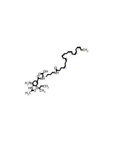 CC/C=C\C/C=C\C/C=C\C/C=C\C/C=C\C/C=C\CCC(=O)NCCCC[C@H](NC(=O)C1=C[C@@H](OC(C)CC)[C@H](NC(C)=O)[C@@H](N)C1)C(=O)O